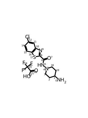 NC1CCN(NC(=O)c2nc3cc(Cl)ccc3s2)CC1.O=C(O)C(F)(F)F